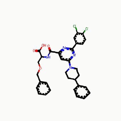 O=C(NC(COCc1ccccc1)C(=O)O)c1cc(N2CCC(c3ccccc3)CC2)nc(-c2ccc(Cl)c(Cl)c2)n1